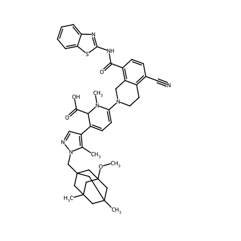 COC12CC3(C)CC(C)(CC(Cn4ncc(C5=CC=C(N6CCc7c(C#N)ccc(C(=O)Nc8nc9ccccc9s8)c7C6)N(C)C5C(=O)O)c4C)(C3)C1)C2